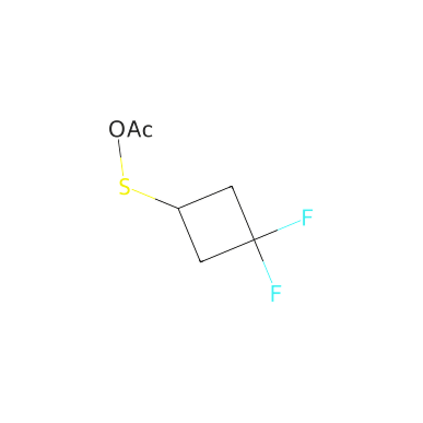 CC(=O)OSC1CC(F)(F)C1